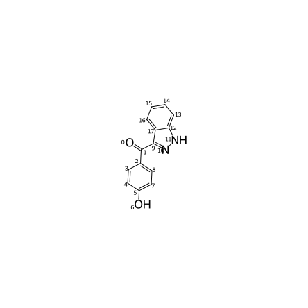 O=C(c1ccc(O)cc1)c1n[nH]c2ccccc12